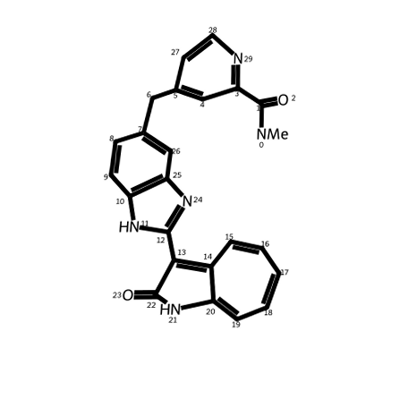 CNC(=O)c1cc(Cc2ccc3[nH]c(-c4c5cccccc-5[nH]c4=O)nc3c2)ccn1